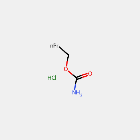 CCCCOC(N)=O.Cl